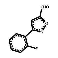 O=Cc1cc(-c2ccccc2F)no1